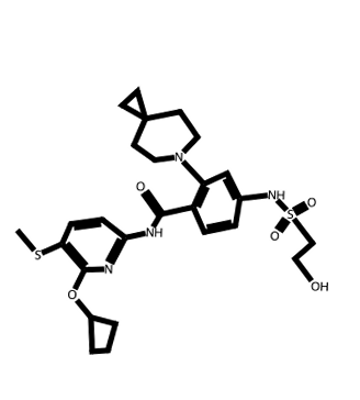 CSc1ccc(NC(=O)c2ccc(NS(=O)(=O)CCO)cc2N2CCC3(CC2)CC3)nc1OC1CCC1